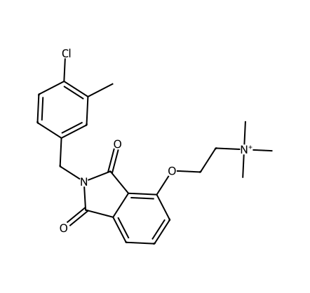 Cc1cc(CN2C(=O)c3cccc(OCC[N+](C)(C)C)c3C2=O)ccc1Cl